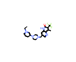 CCN1C=C(N2CCN(Cc3cnc4c(C)c(C(F)(F)F)c(=O)[nH]c4c3)CC2)C=CC1